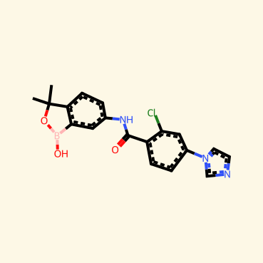 CC1(C)OB(O)c2cc(NC(=O)c3ccc(-n4ccnc4)cc3Cl)ccc21